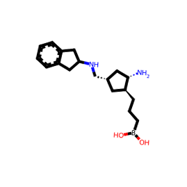 N[C@H]1C[C@@H](CNC2Cc3ccccc3C2)C[C@@H]1CCCB(O)O